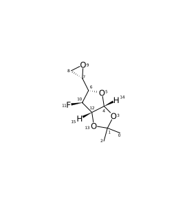 CC1(C)O[C@H]2O[C@@H]([C@@H]3CO3)[C@H](F)[C@H]2O1